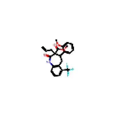 C=CCC1(C(=O)OC)C(=O)Nc2cccc(C(F)(F)F)c2CC1c1ccccc1OC